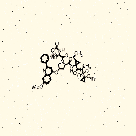 C=CC1CC1(NC(=O)C1CC(Oc2cc(-c3ccccc3)nc3cc(OC)ccc23)CN1C(=O)C(NC(=O)OC(C)(C)C)C(C)(C)C)C(=O)N(C)S(=O)(=O)C1(OC(C)C)CC1